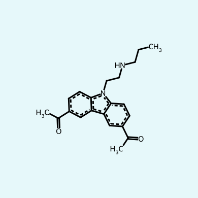 CCCNCCn1c2ccc(C(C)=O)cc2c2cc(C(C)=O)ccc21